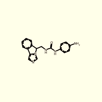 Nc1ccc(NC(=O)NCC2c3ccccc3-c3cncn32)cc1